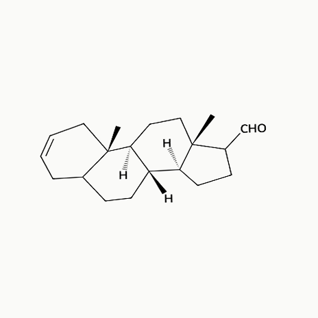 C[C@]12CC=CCC1CC[C@@H]1[C@@H]2CC[C@]2(C)C(C=O)CC[C@@H]12